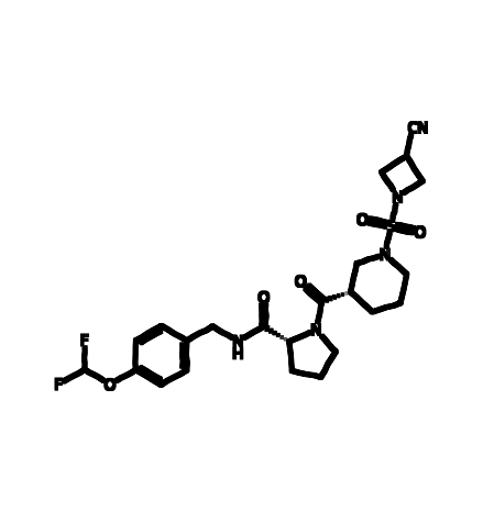 N#CC1CN(S(=O)(=O)N2CCC[C@H](C(=O)N3CCC[C@@H]3C(=O)NCc3ccc(OC(F)F)cc3)C2)C1